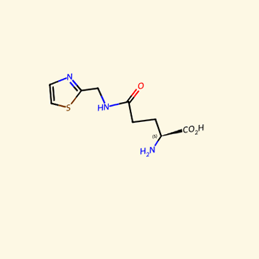 N[C@@H](CCC(=O)NCc1nccs1)C(=O)O